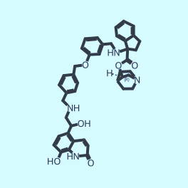 O=C(O[C@H]1CN2CCC1CC2)C1(NCc2cccc(OCc3ccc(CNCC(O)c4ccc(O)c5[nH]c(=O)ccc45)cc3)c2)CCc2ccccc21